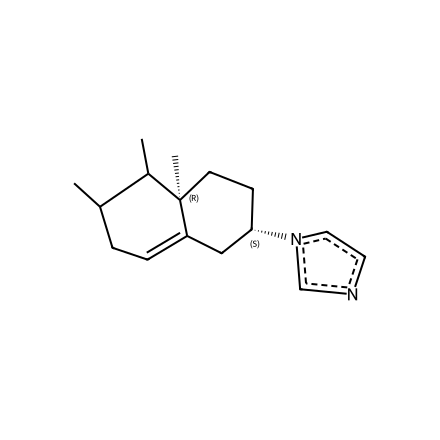 CC1CC=C2C[C@@H](n3ccnc3)CC[C@]2(C)C1C